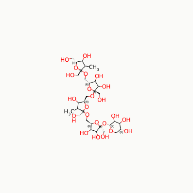 CC1C(O)[C@@H](CO)O[C@@]1(CO)OC[C@H]1O[C@@](CO)(OC[C@H]2O[C@@](CO)(OC[C@H]3O[C@@](CO)(O[C@H]4OC[C@@H](O)C(O)C4O)C(O)C3O)C(C)C2O)C(O)C1O